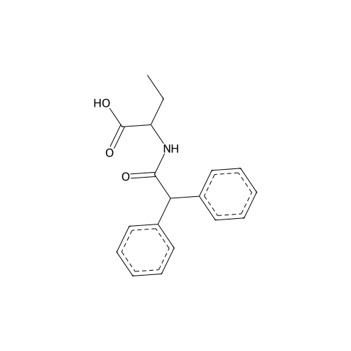 CCC(NC(=O)C(c1ccccc1)c1ccccc1)C(=O)O